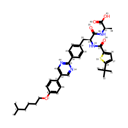 CC(C)CCCCOc1ccc(-c2cnc(-c3ccc(C[C@H](NC(=O)c4ccc(C(C)(C)C)s4)C(=O)N[C@H](C)C(=O)O)cc3)nc2)cc1